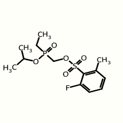 CCP(=O)(COS(=O)(=O)c1c(C)cccc1F)OC(C)C